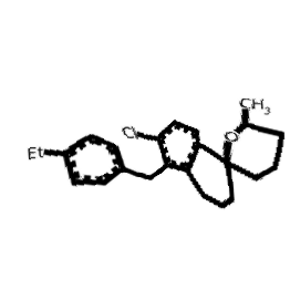 CCc1ccc(Cc2c(Cl)ccc3c2CCCC32CCCC(C)O2)cc1